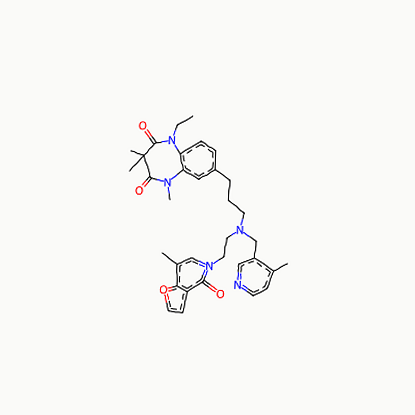 CCN1C(=O)C(C)(C)C(=O)N(C)c2cc(CCCN(CCn3cc(C)c4occc4c3=O)Cc3cnccc3C)ccc21